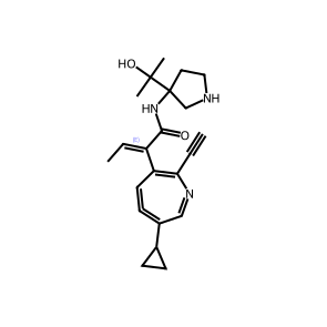 C#CC1=C(/C(=C\C)C(=O)NC2(C(C)(C)O)CCNC2)C=C=C(C2CC2)C=N1